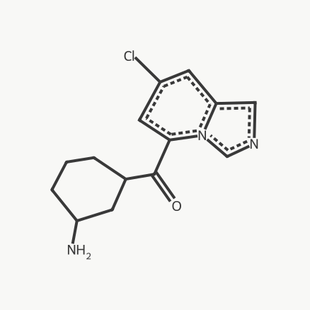 NC1CCCC(C(=O)c2cc(Cl)cc3cncn23)C1